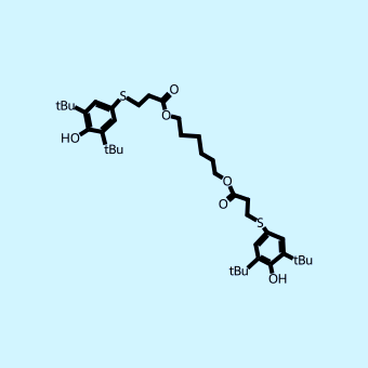 CC(C)(C)c1cc(SCCC(=O)OCCCCCCOC(=O)CCSc2cc(C(C)(C)C)c(O)c(C(C)(C)C)c2)cc(C(C)(C)C)c1O